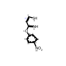 N=C(/C=C\S)Oc1ccc([N+](=O)[O-])cc1